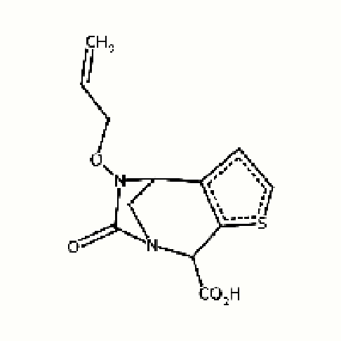 C=CCON1C(=O)N2CC1c1ccsc1C2C(=O)O